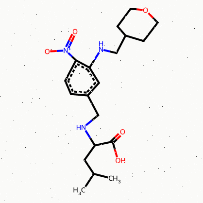 CC(C)CC(NCc1ccc([N+](=O)[O-])c(NCC2CCOCC2)c1)C(=O)O